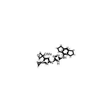 COC1(c2cc(Sc3nnc(Nc4c5c(cc6c4CCC6)CCC5)[nH]3)nn2C2CC2)COC1